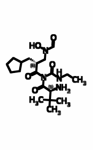 CCNC(=O)N(C(=O)[C@H](CC1CCCC1)CN(O)C=O)C(=O)[C@@H](N)C(C)(C)C